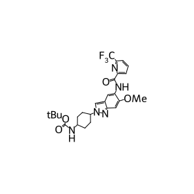 COc1cc2nn(C3CCC(NC(=O)OC(C)(C)C)CC3)cc2cc1NC(=O)c1cccc(C(F)(F)F)n1